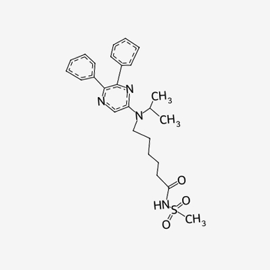 CC(C)N(CCCCCC(=O)NS(C)(=O)=O)c1cnc(-c2ccccc2)c(-c2ccccc2)n1